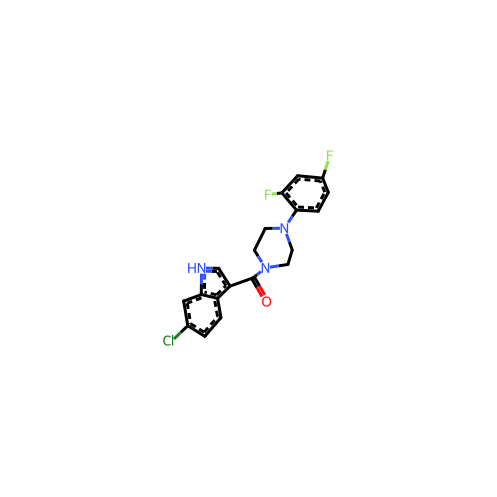 O=C(c1c[nH]c2cc(Cl)ccc12)N1CCN(c2ccc(F)cc2F)CC1